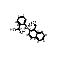 O=Cc1c(S(=O)(=O)c2ccccc2C(=O)O)ccc2ccccc12